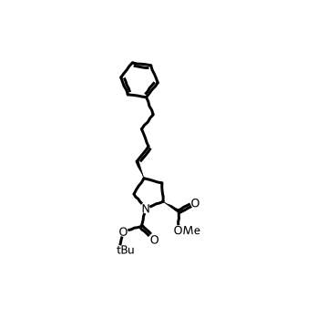 COC(=O)[C@@H]1C[C@H](/C=C/CCc2ccccc2)CN1C(=O)OC(C)(C)C